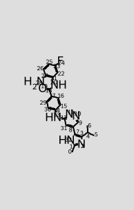 Cc1nc(C(C)C)c(-c2cnnc(Nc3ccc(C(=O)Nc4cc(F)ccc4N)cc3)c2)[nH]1